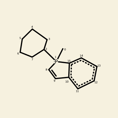 C[P]1(C2CCCCC2)C=Cc2ccccc21